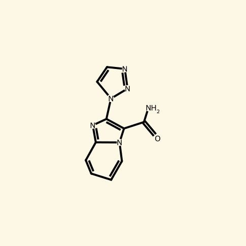 NC(=O)c1c(-n2ccnn2)nc2ccccn12